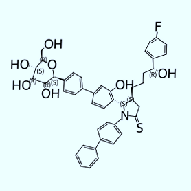 OC[C@H]1O[C@@H](c2ccc(-c3ccc([C@@H]4[C@@H](CCC[C@@H](O)c5ccc(F)cc5)CC(=S)N4c4ccc(-c5ccccc5)cc4)c(O)c3)cc2)[C@H](O)[C@@H](O)[C@@H]1O